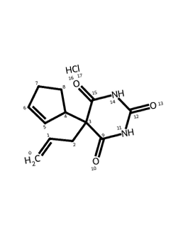 C=CCC1(C2C=CCC2)C(=O)NC(=O)NC1=O.Cl